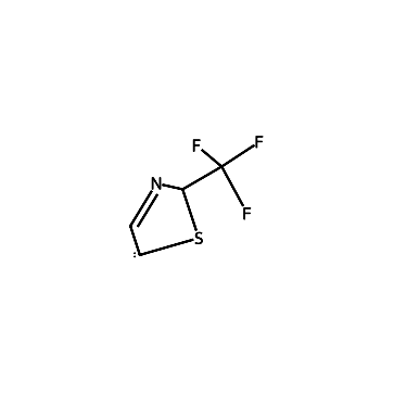 FC(F)(F)C1N=C[C]S1